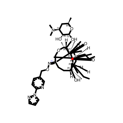 CCCN1C[C@H](C)[C@H]2CC/C(=N\OCc3ccc(-n4cccn4)nc3)CO[C@](C)(C[C@H]1C)[C@H](O[C@@H]1O[C@H](C)C[C@H](N(C)C)[C@H]1O)[C@@H](C)C(=O)[C@@H](C)C(=O)O[C@H](CC)[C@@]2(C)O